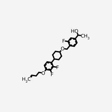 C=CCCOc1ccc(C2CCC(OCc3ccc(C(C)O)cc3F)CC2)c(F)c1F